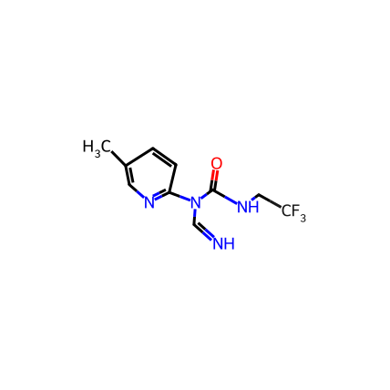 Cc1ccc(N(C=N)C(=O)NCC(F)(F)F)nc1